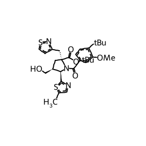 COc1cc(C(=O)N2[C@@H](c3ncc(C)s3)[C@@H](CO)C[C@@]2(Cc2ccsn2)C(=O)OC(C)(C)C)ccc1C(C)(C)C